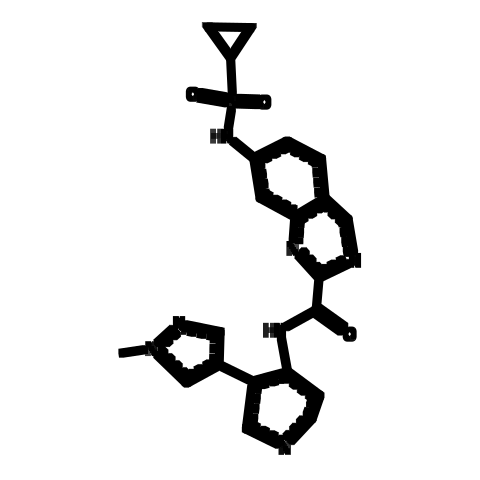 Cn1cc(-c2cnccc2NC(=O)c2ncc3ccc(NS(=O)(=O)C4CC4)cc3n2)cn1